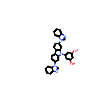 Oc1cc(O)cc(-n2c3cc(-n4cnc5ccccc54)ccc3c3ccc(-n4cnc5ccccc54)cc32)c1